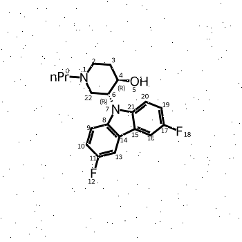 CCCN1CC[C@@H](O)[C@H](n2c3ccc(F)cc3c3cc(F)ccc32)C1